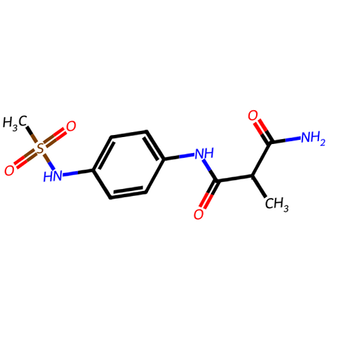 C[C](C(N)=O)C(=O)Nc1ccc(NS(C)(=O)=O)cc1